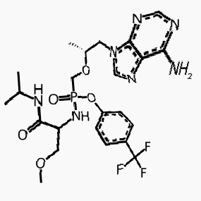 COCC(NP(=O)(CO[C@H](C)Cn1cnc2c(N)ncnc21)Oc1ccc(C(F)(F)F)cc1)C(=O)NC(C)C